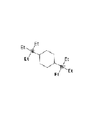 CC[N+](CC)(CC)C1CCC([N+](CC)(CC)CC)CC1